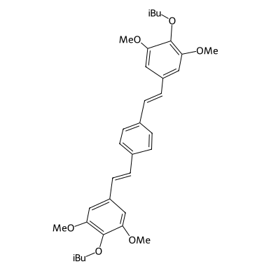 CCC(C)Oc1c(OC)cc(C=Cc2ccc(C=Cc3cc(OC)c(OC(C)CC)c(OC)c3)cc2)cc1OC